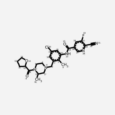 Cc1c(CN2CCN(C(=O)C3CCCO3)C(C)C2)cc(Cl)cc1NC(=O)c1cnc(C#N)c(F)c1